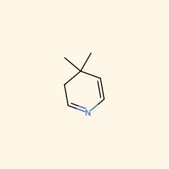 CC1(C)C=CN=CC1